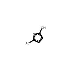 CC(=O)c1ccc(O)s1